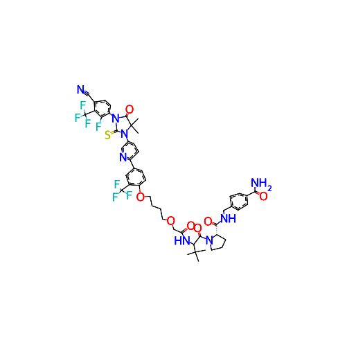 CC(C)(C)C(NC(=O)COCCCCOc1ccc(-c2ccc(N3C(=S)N(c4ccc(C#N)c(C(F)(F)F)c4F)C(=O)C3(C)C)cn2)cc1C(F)(F)F)C(=O)N1CCC[C@H]1C(=O)NCc1ccc(C(N)=O)cc1